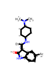 CC/C(NC1CCC(N(C)C)CC1)=C1\C(=O)Nc2ccc(C(C)=O)cc21